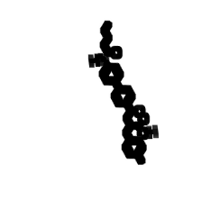 CCCCC(=O)Nc1ccc(-c2ccc(C(=O)CC(Cc3ccc(C)cc3)C(=O)O)cc2)cc1